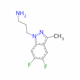 Cc1nn(CCCN)c2cc(F)c(F)cc12